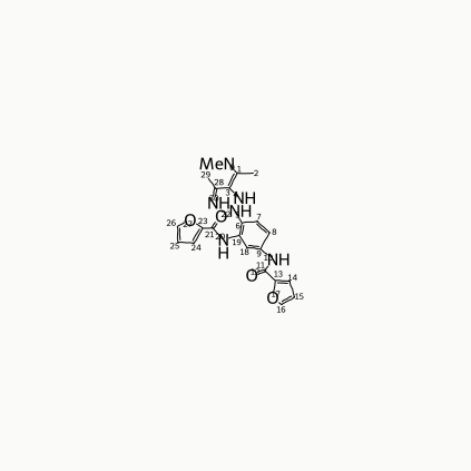 CN/C(C)=C(/NNc1ccc(NC(=O)c2ccco2)cc1NC(=O)c1ccco1)C(C)=N